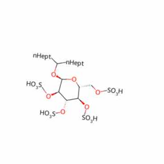 CCCCCCCC(CCCCCCC)O[C@H]1O[C@H](COS(=O)(=O)O)[C@@H](OS(=O)(=O)O)[C@H](OS(=O)(=O)O)[C@H]1OS(=O)(=O)O